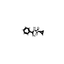 CC(=O)C(NS(=O)(=O)C1CC1)c1ccccc1